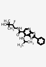 CC(C)Nc1c(C(=O)NC[C@@H](F)C(C)(C)O)cnc2sc(-c3ccccc3)nc12